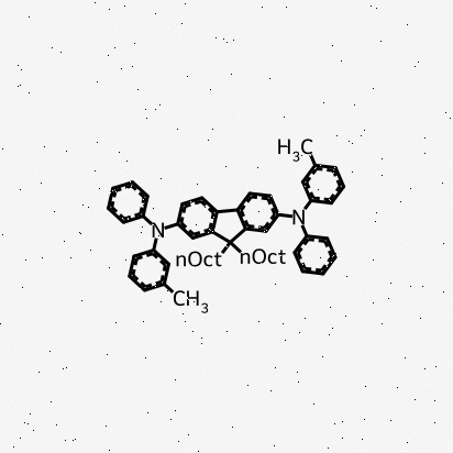 CCCCCCCCC1(CCCCCCCC)c2cc(N(c3ccccc3)c3cccc(C)c3)ccc2-c2ccc(N(c3ccccc3)c3cccc(C)c3)cc21